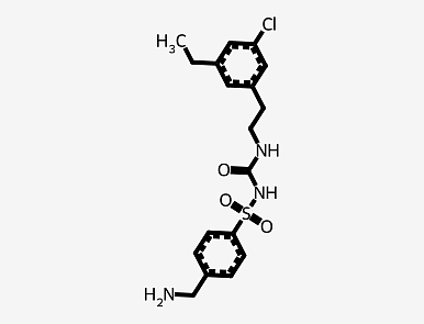 CCc1cc(Cl)cc(CCNC(=O)NS(=O)(=O)c2ccc(CN)cc2)c1